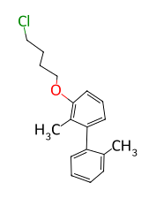 Cc1ccccc1-c1cccc(OCCCCCl)c1C